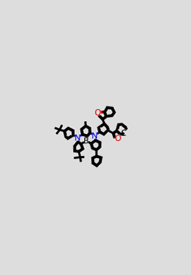 Cc1cc2c3c(c1)N(c1ccc(C(C)(C)C)cc1)c1ccc(C(C)(C)C)cc1B3c1cc(-c3ccccc3)ccc1N2c1cc(-c2coc3ccccc23)cc(-c2coc3ccccc23)c1